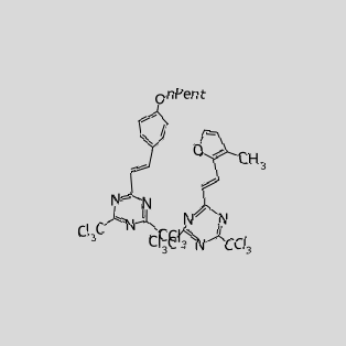 CCCCCOc1ccc(C=Cc2nc(C(Cl)(Cl)Cl)nc(C(Cl)(Cl)Cl)n2)cc1.Cc1ccoc1C=Cc1nc(C(Cl)(Cl)Cl)nc(C(Cl)(Cl)Cl)n1